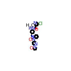 Cc1ncc(Cl)cc1C(=O)N[C@H]1CC[C@H](Cn2c(=O)n(-c3ccc(N4CCCC4=O)nc3)c3ccccc32)CC1